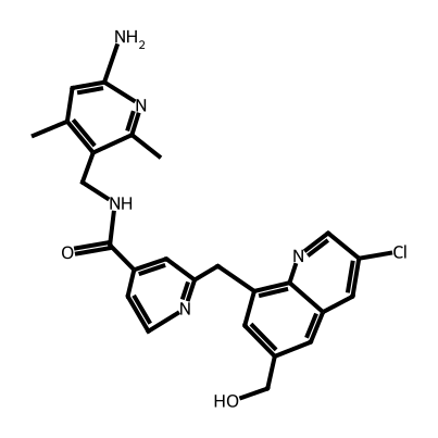 Cc1cc(N)nc(C)c1CNC(=O)c1ccnc(Cc2cc(CO)cc3cc(Cl)cnc23)c1